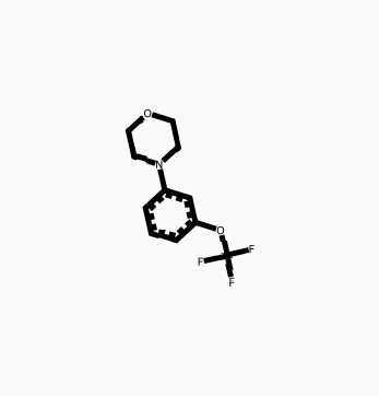 FC(F)(F)Oc1cccc(N2CCOCC2)c1